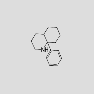 c1ccc(C23CCCCC2CCCN3)cc1